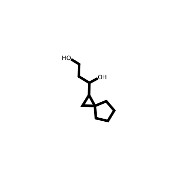 OCCC(O)C1CC12CCCC2